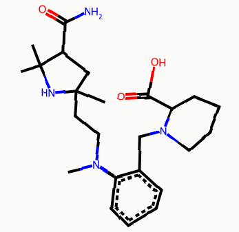 CN(CCC1(C)CC(C(N)=O)C(C)(C)N1)c1ccccc1CN1CCCCC1C(=O)O